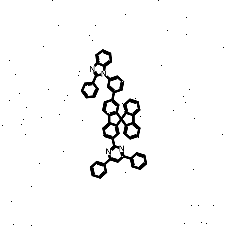 c1ccc(-c2cc(-c3ccccc3)nc(-c3ccc4c(c3)C3(c5ccccc5-c5ccccc53)c3cc(-c5cccc(-n6c(-c7ccccc7)nc7ccccc76)c5)ccc3-4)n2)cc1